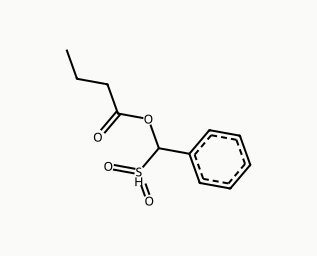 CCCC(=O)OC(c1ccccc1)[SH](=O)=O